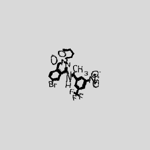 CC(Nc1nn(C2CCCCO2)c(=O)c2ccc(Br)cc12)c1cc([N+](=O)[O-])cc(C(F)(F)F)c1